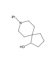 CC(C)N1CCC2(CCCC2O)CC1